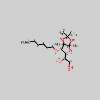 CCCCCCCCCCCCCCCO[C@@H]1[C@H]2OC(C)(C)O[C@H]2O[C@@H]1[C@H](O)CO